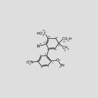 CC(C)Oc1ccc([N+](=O)[O-])cc1C1=CC(C)(C(=O)O)CC(C(=O)O)=C1Br